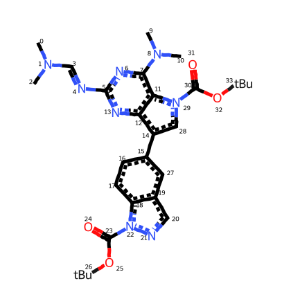 CN(C)/C=N/c1nc(N(C)C)c2c(n1)c(-c1ccc3c(cnn3C(=O)OC(C)(C)C)c1)cn2C(=O)OC(C)(C)C